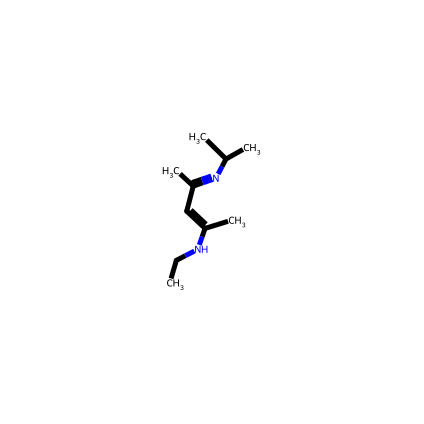 CCNC(C)=CC(C)=NC(C)C